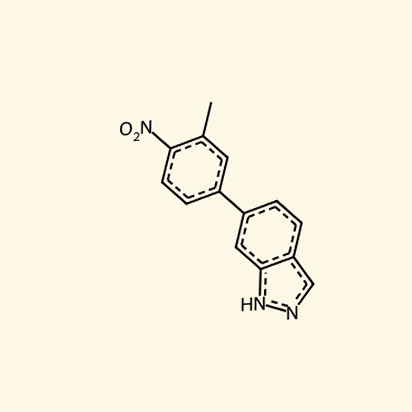 Cc1cc(-c2ccc3cn[nH]c3c2)ccc1[N+](=O)[O-]